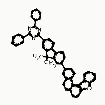 CC1(C)c2cc(-c3ccc4c(ccc5ccc6oc7ccccc7c6c54)c3)ccc2-c2ccc(-c3nc(-c4ccccc4)nc(-c4ccccc4)n3)cc21